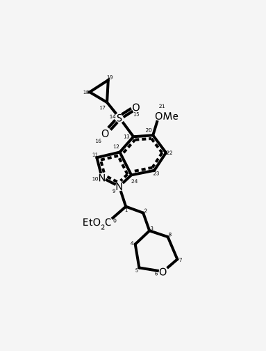 CCOC(=O)C(CC1CCOCC1)n1ncc2c(S(=O)(=O)C3CC3)c(OC)ccc21